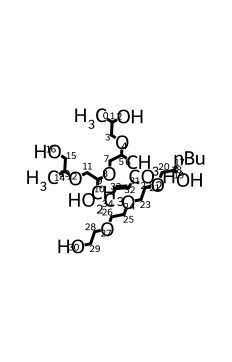 CC(O)COC(C)COC(C)COC(C)CO.CCCCC(O)COCCOCCOCCO.O=C(O)C=CC(=O)O